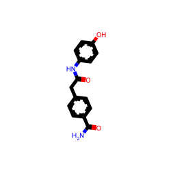 NC(=O)c1ccc(CC(=O)Nc2ccc(O)cc2)cc1